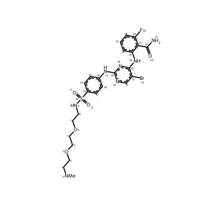 CNCCOCCOCCNS(=O)(=O)c1ccc(Nc2ncc(Br)c(Nc3cccc(F)c3C(N)=O)n2)cc1